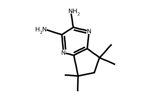 CC1(C)CC(C)(C)c2nc(N)c(N)nc21